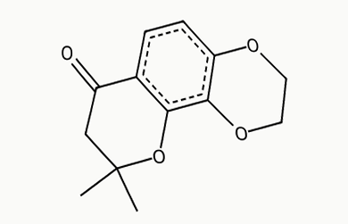 CC1(C)CC(=O)c2ccc3c(c2O1)OCCO3